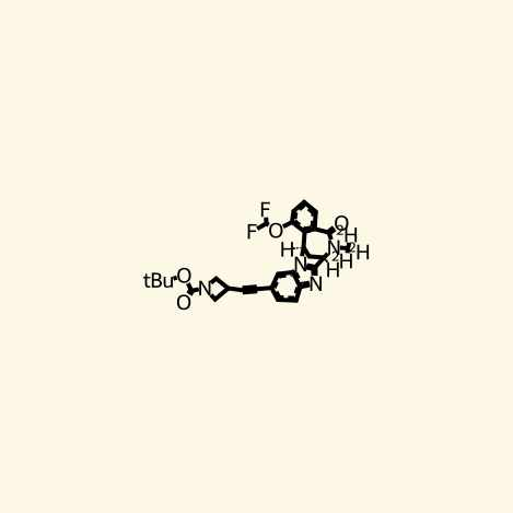 [2H]C([2H])([2H])N1C(=O)c2cccc(OC(F)F)c2[C@H]2C[C@@H]1c1nc3ccc(C#CC4CN(C(=O)OC(C)(C)C)C4)cc3n12